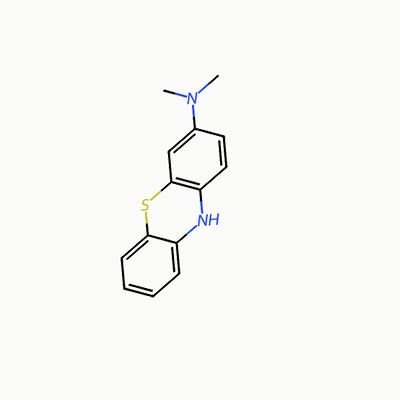 CN(C)c1ccc2c(c1)Sc1ccccc1N2